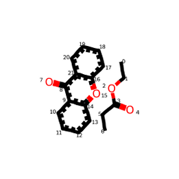 CCOC(=O)CC.O=c1c2ccccc2oc2ccccc12